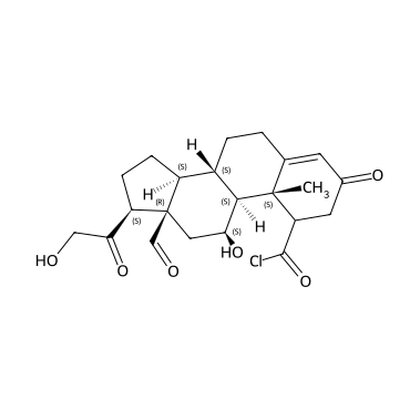 C[C@@]12C(=CC(=O)CC1C(=O)Cl)CC[C@@H]1[C@@H]2[C@@H](O)C[C@]2(C=O)[C@@H](C(=O)CO)CC[C@@H]12